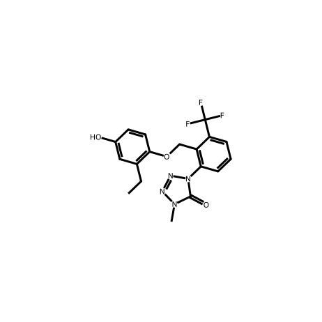 CCc1cc(O)ccc1OCc1c(-n2nnn(C)c2=O)cccc1C(F)(F)F